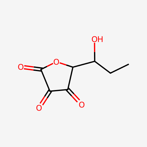 CCC(O)C1OC(=O)C(=O)C1=O